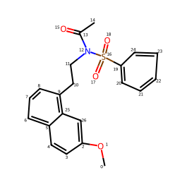 COc1ccc2cccc(CCN(C(C)=O)S(=O)(=O)c3ccccc3)c2c1